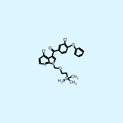 C[Si](C)(C)CCOCn1cc(C(=O)c2ccc(Oc3ccccc3)c(Cl)c2)c2c(Cl)ccnc21